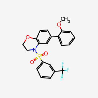 COc1ccccc1-c1ccc2c(c1)N(S(=O)(=O)c1cccc(C(F)(F)F)c1)CCO2